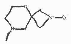 CN1CCOC2(C1)C[S+]([O-])C2